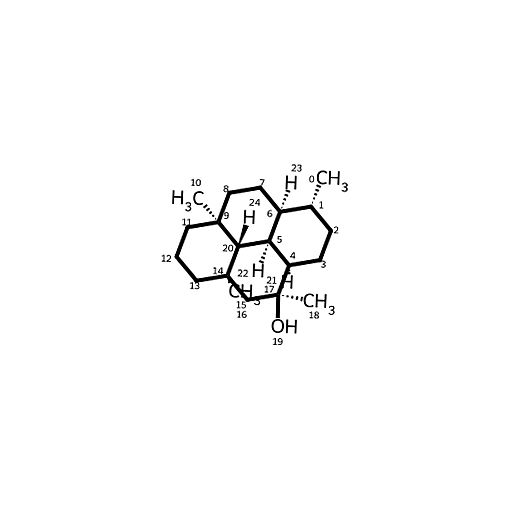 C[C@@H]1CC[C@@H]2[C@@H]3[C@H]1CC[C@]1(C)CCC[C@](C)(C[C@]2(C)O)[C@@H]31